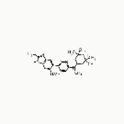 COc1cc2[nH]c(C)nc2cc1-c1ccc(N(C)C2CC(C)(C)NC(C)(C)C2)nn1